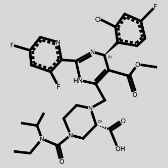 CCN(C(=O)N1CCN(CC2=C(C(=O)OC)[C@H](c3ccc(F)cc3Cl)N=C(c3ncc(F)cc3F)N2)[C@H](C(=O)O)C1)C(C)C